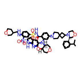 CC(C)c1ccccc1[C@@H]1COCCN1C1CC2(CCN(c3ccc(C(=O)NS(=O)(=O)c4ccc(NCC5CCOCC5)c([N+](=O)[O-])c4)c(N4c5cc6cc[nH]c6nc5O[C@H]5CCOCC[C@@H]54)c3)CC2)C1